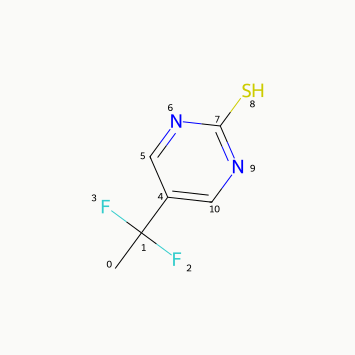 CC(F)(F)c1cnc(S)nc1